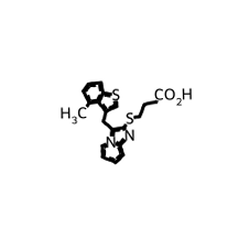 Cc1cccc2scc(Cc3c(SCCCC(=O)O)nc4ccccn34)c12